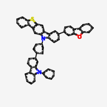 c1ccc(-n2c3ccccc3c3ccc(-c4ccc(-n5c6ccc(-c7ccc8c(c7)oc7ccccc78)cc6c6cc7sc8ccccc8c7cc65)cc4)cc32)cc1